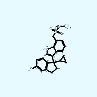 CNS(=O)(=O)Cc1cccc2c(C3(C4CC4)CCc4cc(F)ccc43)c[nH]c12